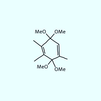 COC1(OC)C=C(C)C(OC)(OC)C(C)=C1C